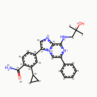 CC(C)(O)CNc1nc(-c2ccccc2)cn2c(-c3ccc(C(N)=O)c(C4CC4)c3)cnc12